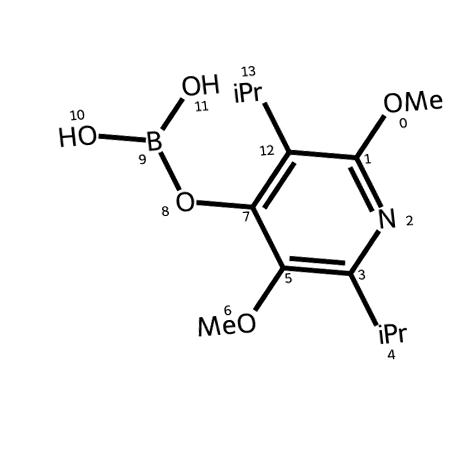 COc1nc(C(C)C)c(OC)c(OB(O)O)c1C(C)C